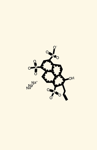 C=CCc1c(O)c2ccc3c(S(=O)(=O)[O-])cc(S(=O)(=O)[O-])c4ccc(c1S(=O)(=O)[O-])c2c34.[Na+].[Na+].[Na+]